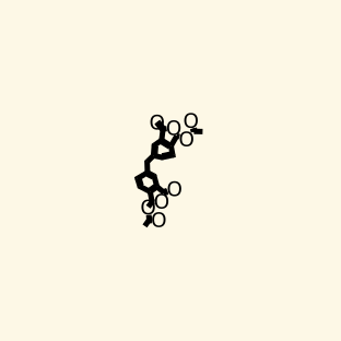 CC(=O)OC1OC(=O)c2cc(Cc3ccc4c(c3)C(=O)OC4OC(C)=O)ccc21